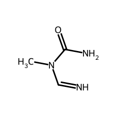 CN(C=N)C(N)=O